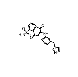 NS(=O)(=O)c1cccc2c1C(=O)C=C(Nc1cccc(Cn3ccnc3)c1)C2=O